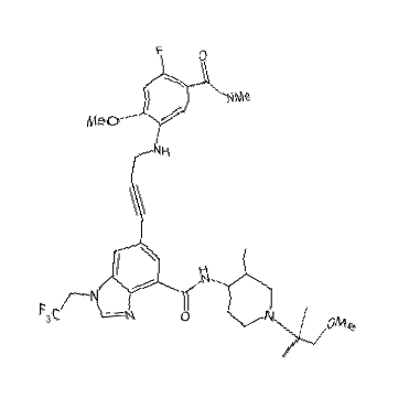 CNC(=O)c1cc(NCC#Cc2cc(C(=O)NC3CCN(C(C)(C)COC)CC3C)c3ncn(CC(F)(F)F)c3c2)c(OC)cc1F